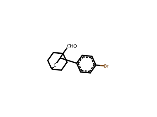 O=CC12CCC(CC1)CC2c1ccc(Br)cc1